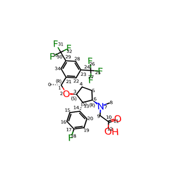 C[C@@H](O[C@H]1CC[C@@H](N(C)CC(=O)O)[C@@H]1c1ccc(F)cc1)c1cc(C(F)(F)F)cc(C(F)(F)F)c1